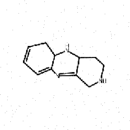 C1=CCC2NC3CCNCC3=NC2=C1